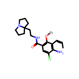 C/C=C\c1c(N)c(Cl)cc(C(=O)NCCC23CCCN2CCC3)c1OCC